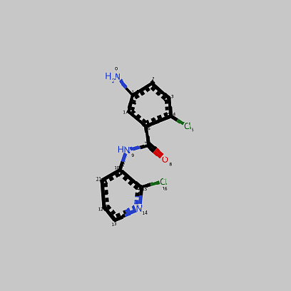 Nc1ccc(Cl)c(C(=O)Nc2cccnc2Cl)c1